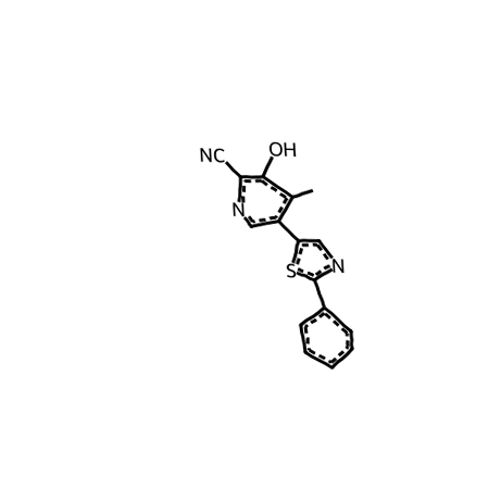 Cc1c(-c2cnc(-c3ccccc3)s2)cnc(C#N)c1O